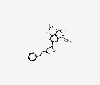 COc1cc(C(=O)CC(=O)CCc2ccccc2)cc(OC)c1OC